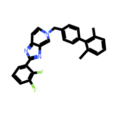 Cc1cccc(C)c1-c1ccc(Cn2ccc3nc(-c4cccc(F)c4F)nc-3c2)cc1